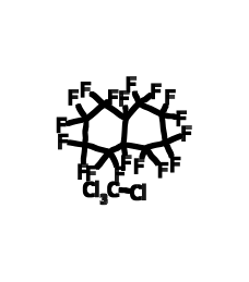 ClC(Cl)(Cl)Cl.FC1(F)C(F)(F)C(F)(F)C2(F)C(F)(F)C(F)(F)C(F)(F)C(F)(F)C2(F)C1(F)F